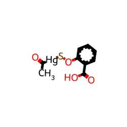 C[C](=O)[Hg][S]Oc1ccccc1C(=O)O